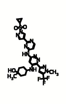 Cn1nc(-c2nnc(Nc3ccnc(-c4cnn(S(=O)(=O)C5CC5)c4)n3)cc2NC2CCC(C)(O)CC2)cc1C(F)(F)F